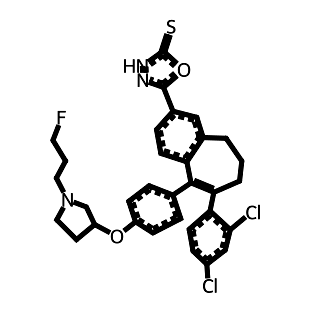 FCCCN1CCC(Oc2ccc(C3=C(c4ccc(Cl)cc4Cl)CCCc4cc(-c5n[nH]c(=S)o5)ccc43)cc2)C1